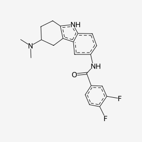 CN(C)C1CCc2[nH]c3ccc(NC(=O)c4ccc(F)c(F)c4)cc3c2C1